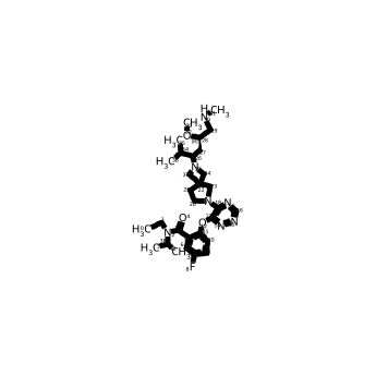 CCN(C(=O)c1cc(F)ccc1Oc1nncnc1N1CCC2(C1)CN(C(C[C@H](CNC)OC)C(C)C)C2)C(C)C